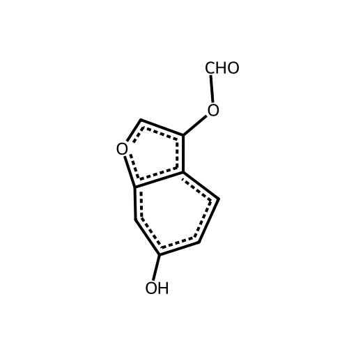 O=COc1coc2cc(O)ccc12